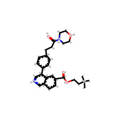 C[Si](C)(C)CCOC(=O)c1ccc2cncc(-c3ccc(CCC(=O)N4CCOCC4)cc3)c2c1